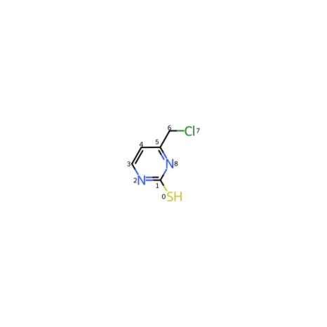 Sc1nccc(CCl)n1